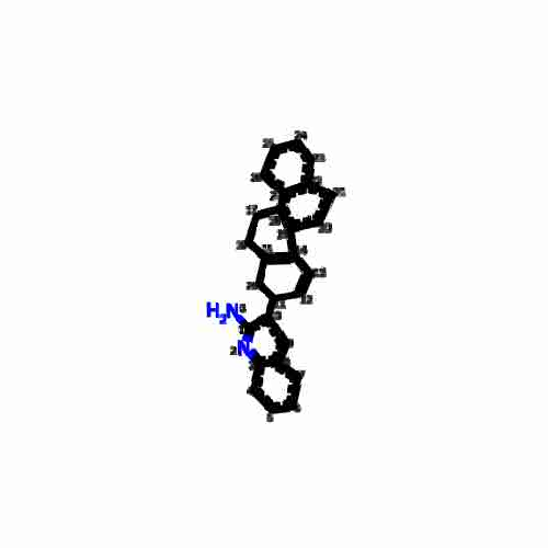 Nc1nc2ccccc2cc1C1C=CC2=C(CCc3c2ccc2ccccc32)C1